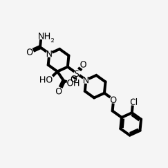 NC(=O)N1CCC(S(=O)(=O)N2CCC(OCc3ccccc3Cl)CC2)C(O)(C(=O)O)C1